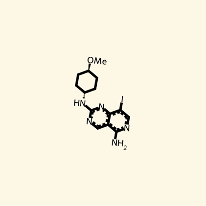 CO[C@H]1CC[C@H](Nc2ncc3c(N)ncc(I)c3n2)CC1